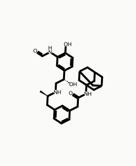 C[C@H](Cc1cccc(CC(=O)NC23CC4CC(CC(C4)C2)C3)c1)NC[C@@H](O)c1ccc(O)c(NC=O)c1